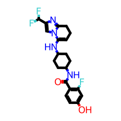 O=C(NC1CCC(NC2=CCCc3nc(C(F)F)cn32)CC1)c1ccc(O)cc1F